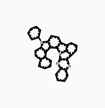 c1ccc(-n2c3ccc4ccccc4c3c3c2ccc2c4cccc5c6nc7ccccc7nc6n(c45)c23)cc1